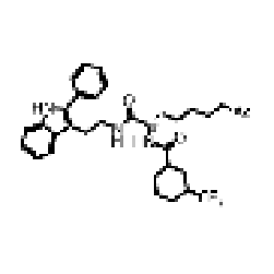 CC(=O)CCCCC[C@H](NC(=O)C1CCCC(C(F)(F)F)C1)C(=O)NCCc1c(-c2ccccc2)[nH]c2ccccc12